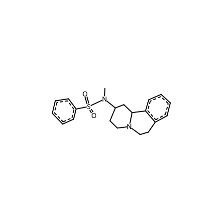 CN(C1CCN2CCc3ccccc3C2C1)S(=O)(=O)c1ccccc1